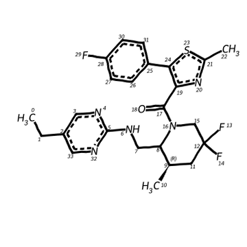 CCc1cnc(NCC2[C@H](C)CC(F)(F)CN2C(=O)c2nc(C)sc2-c2ccc(F)cc2)nc1